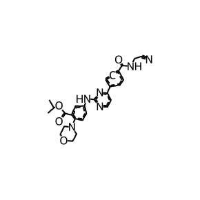 CC(C)OC(=O)c1cc(Nc2nccc(-c3ccc(C(=O)NCC#N)cc3)n2)ccc1N1CCOCC1